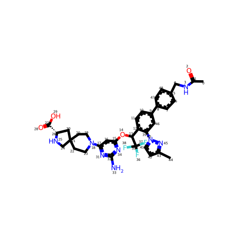 CC(=O)NCc1ccc(-c2ccc(C(Oc3cc(N4CCC5(CC4)CN[C@H](C(=O)O)C5)nc(N)n3)C(F)(F)F)c(-n3ccc(C)n3)c2)cc1